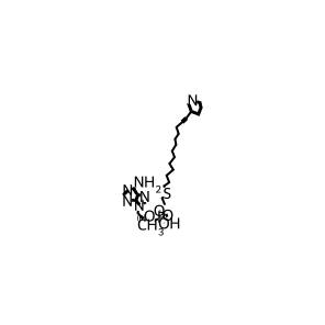 C[C@H](Cn1cnc2c(N)ncnc21)OCP(=O)(O)OCCSCCCCCCCCCCCC#Cc1cccnc1